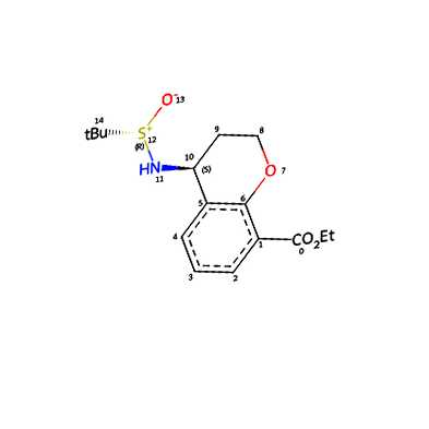 CCOC(=O)c1cccc2c1OCC[C@@H]2N[S@@+]([O-])C(C)(C)C